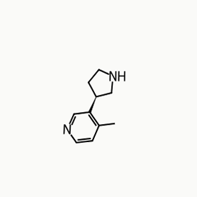 Cc1ccncc1[C@H]1CCNC1